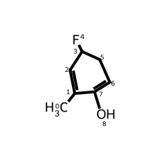 CC1=CC(F)CC=C1O